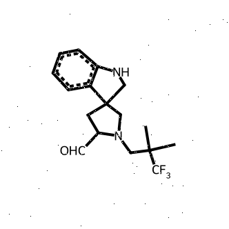 CC(C)(CN1CC2(CNc3ccccc32)CC1C=O)C(F)(F)F